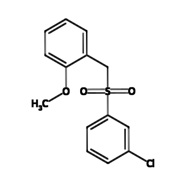 COc1ccccc1CS(=O)(=O)c1cccc(Cl)c1